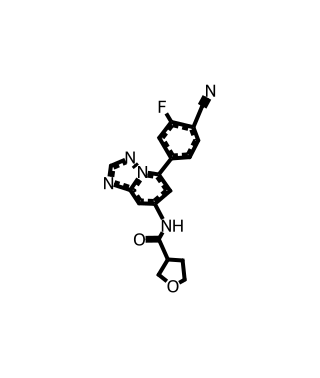 N#Cc1ccc(-c2cc(NC(=O)C3CCOC3)cc3ncnn23)cc1F